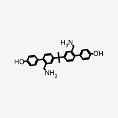 CC(C)(c1ccc(-c2ccc(O)cc2)c(CN)c1)c1ccc(-c2ccc(O)cc2)c(CN)c1